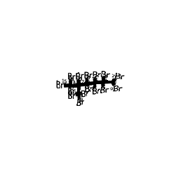 Br[C](Br)C(Br)(Br)C(Br)(Br)C(Br)(Br)C(Br)(C(Br)(Br)Br)C(Br)(Br)Br